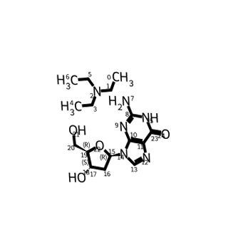 CCN(CC)CC.Nc1nc2c(ncn2[C@H]2C[C@H](O)[C@@H](CO)O2)c(=O)[nH]1